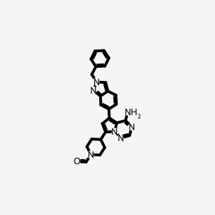 Nc1ncnn2c(C3CCN(C=O)CC3)cc(-c3ccc4cn(Cc5ccccc5)nc4c3)c12